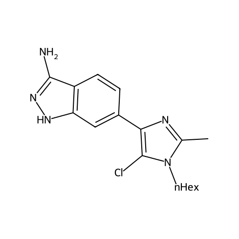 CCCCCCn1c(C)nc(-c2ccc3c(N)n[nH]c3c2)c1Cl